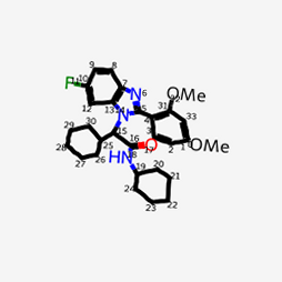 COc1ccc(-c2nc3ccc(F)cc3n2C(C(=O)NC2CCCCC2)C2CCCCC2)c(OC)c1